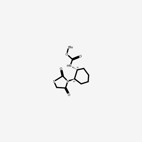 CC(C)(C)OC(=O)N[C@@H]1CCCC[C@H]1N1C(=O)CSC1=O